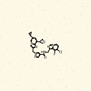 O=C(NCc1ncn2ccc(Cl)c(F)c12)c1cnn(Cc2cn3cc(C4CC4)cc(C4COC4)c3n2)c1